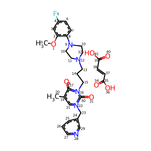 COc1cc(F)ccc1N1CCN(CCCn2c(=O)c(C)cn(Cc3cccnc3)c2=O)CC1.O=C(O)C=CC(=O)O